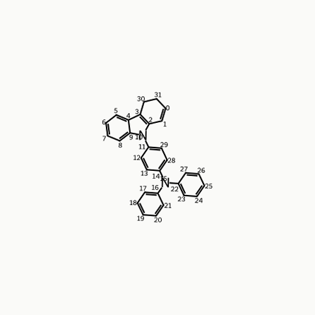 C1=Cc2c(c3ccccc3n2-c2ccc(N(c3ccccc3)c3ccccc3)cc2)CC1